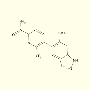 COc1cc2[nH]ncc2cc1-c1ccc(C(N)=O)nc1C(F)(F)F